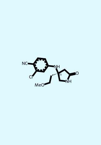 COCC[C@@]1(Nc2ccc(C#N)c(Cl)c2)CNC(=O)C1